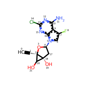 C#C[C@]12O[C@@H](n3cc(F)c4c(N)nc(Cl)nc43)C[C@@]1(O)C2O